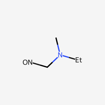 CCN(C)CN=O